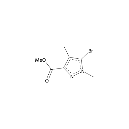 COC(=O)c1nn(C)c(Br)c1C